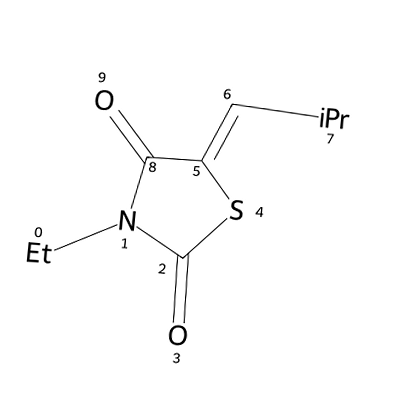 CCN1C(=O)S/C(=C\C(C)C)C1=O